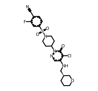 N#Cc1ccc(S(=O)(=O)N2CCC(n3ncc(NC[C@@H]4CCCOC4)c(Cl)c3=O)CC2)cc1F